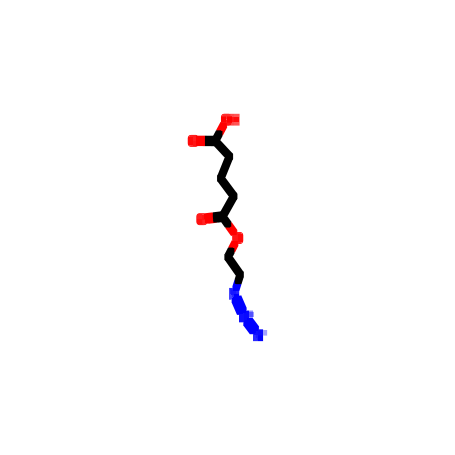 [N-]=[N+]=NCCOC(=O)CCCC(=O)O